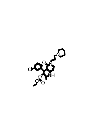 CCOC(=O)OC1=C(C)Nc2ccn(CCCN3CCCCC3)c(=O)c2C1c1cccc(Cl)c1